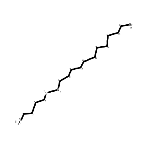 CCCCCSSCCCCCCCCCCCBr